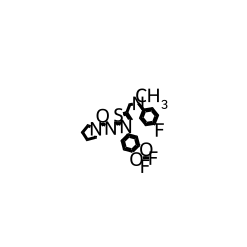 CN(Cc1cn(-c2ccc3c(c2)OC(F)(F)O3)/c(=N/C(=O)N2CCCC2)s1)c1ccc(F)cc1